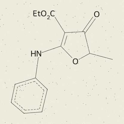 CCOC(=O)C1=C(Nc2ccccc2)OC(C)C1=O